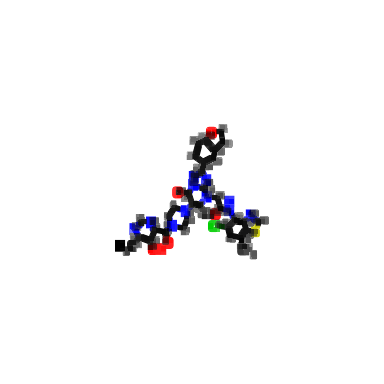 CCc1c(N2CCN(C(=O)c3ncnc(C)c3O)CC2)c(=O)n2nc(-c3ccc4c(c3)CCO4)nc2n1CC(=O)Nc1c(Cl)cc(C(F)(F)F)c2scnc12